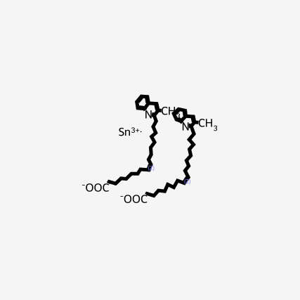 Cc1cc2ccccc2nc1CCCCCCCC/C=C\CCCCCCCC(=O)[O-].Cc1cc2ccccc2nc1CCCCCCCC/C=C\CCCCCCCC(=O)[O-].[Sn+3]